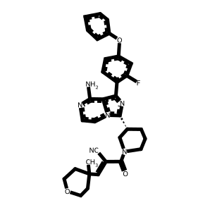 CC1(/C=C(\C#N)C(=O)N2CCC[C@@H](c3nc(-c4ccc(Oc5ccccc5)cc4F)c4c(N)nccn34)C2)CCOCC1